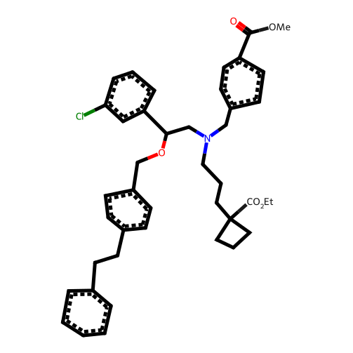 CCOC(=O)C1(CCCN(Cc2ccc(C(=O)OC)cc2)CC(OCc2ccc(CCc3ccccc3)cc2)c2cccc(Cl)c2)CCC1